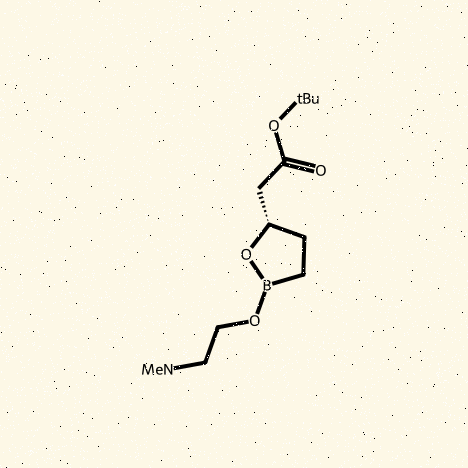 CNCCOB1CC[C@@H](CC(=O)OC(C)(C)C)O1